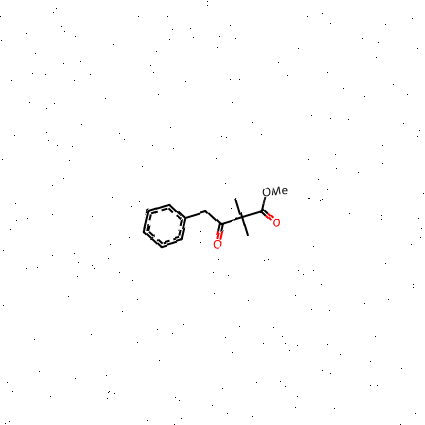 COC(=O)C(C)(C)C(=O)Cc1ccccc1